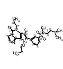 CCCOn1c(-c2cccc(S(=O)(=O)N(C)CCN(C)C)c2)c(Cl)c2c1c1nncn1c(=O)n2CCC